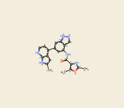 Cc1cc2c(-c3cc(NC(=O)c4nc(C)oc4C)c4cn[nH]c4c3)ccnc2[nH]1